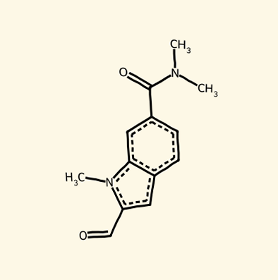 CN(C)C(=O)c1ccc2cc(C=O)n(C)c2c1